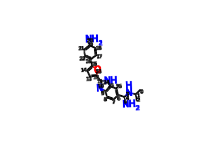 CC(C)NC(N)c1ccc2nc(-c3ccc(-c4ccc(N)cc4)o3)[nH]c2c1